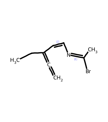 C=C=C(/C=C\N=C(/C)Br)CC